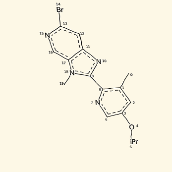 Cc1cc(OC(C)C)cnc1-c1nc2cc(Br)ncc2n1C